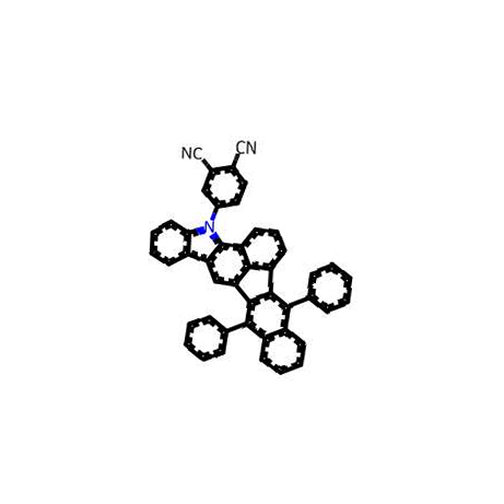 N#Cc1ccc(-n2c3ccccc3c3cc4c5c(cccc5c32)-c2c-4c(-c3ccccc3)c3ccccc3c2-c2ccccc2)cc1C#N